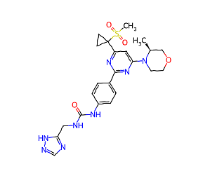 C[C@H]1COCCN1c1cc(C2(S(C)(=O)=O)CC2)nc(-c2ccc(NC(=O)NCc3ncn[nH]3)cc2)n1